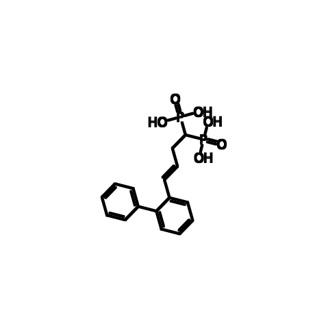 O=P(O)(O)C(CC=Cc1ccccc1-c1ccccc1)P(=O)(O)O